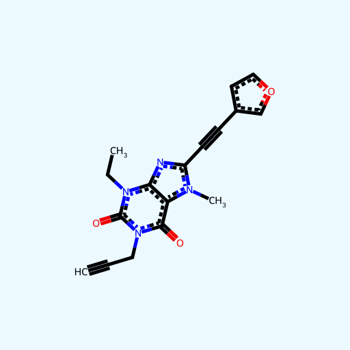 C#CCn1c(=O)c2c(nc(C#Cc3ccoc3)n2C)n(CC)c1=O